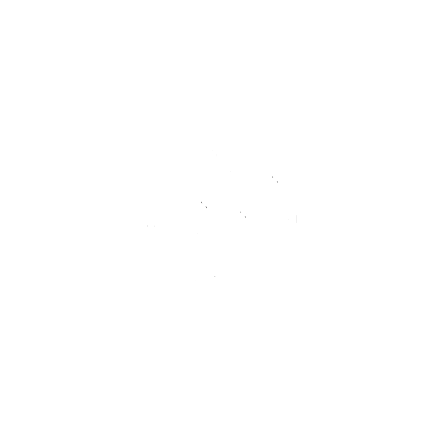 COC(=O)CC1COCCN1c1nc(Cl)nc2c1SCC2